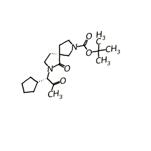 CC(=O)[C@H](C1CCCC1)N1CC[C@@]2(CCN(C(=O)OC(C)(C)C)C2)C1=O